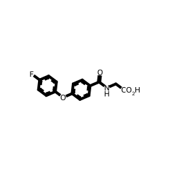 O=C(O)CNC(=O)c1ccc(Oc2ccc(F)cc2)cc1